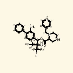 Cc1cc(C(OC(=O)C2CNCCN2Cc2ccncc2)C(O)(C(F)(F)F)C(F)(F)F)ccc1-c1ccccc1